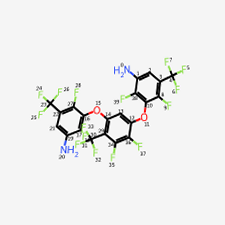 Nc1cc(C(F)(F)F)c(F)c(Oc2cc(Oc3c(F)c(N)cc(C(F)(F)F)c3F)c(C(F)(F)F)c(F)c2F)c1F